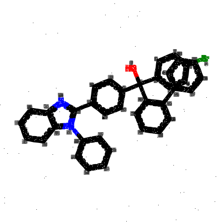 OC(c1ccc(Br)cc1)(c1ccc(-c2nc3ccccc3n2-c2ccccc2)cc1)c1ccccc1-c1ccccc1